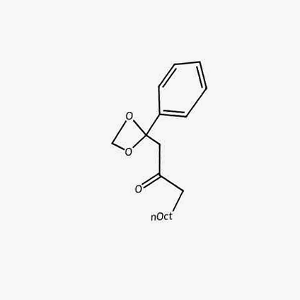 CCCCCCCCCC(=O)CC1(c2ccccc2)OCO1